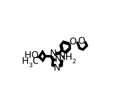 CC1(O)CC(C2=C3C=NC=C[N+]3(N)C(c3ccc(OC4CCCCO4)cc3)=N2)C1